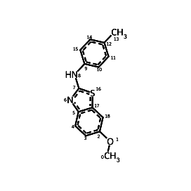 COc1ccc2nc(Nc3ccc(C)cc3)sc2c1